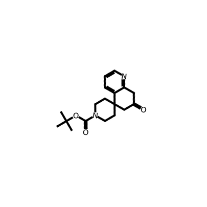 CC(C)(C)OC(=O)N1CCC2(CC1)CC(=O)Cc1ncccc12